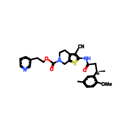 COc1ccc(C)cc1[C@@H](C)CC(=O)Nc1sc2c(c1C#N)CCN(C(=O)OCCc1cccnc1)C2